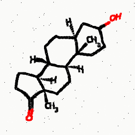 C[C@]12CCC(O)C[C@@H]1CC[C@@H]1[C@@H]2CC[C@]2(C)C(=O)CC[C@@H]12